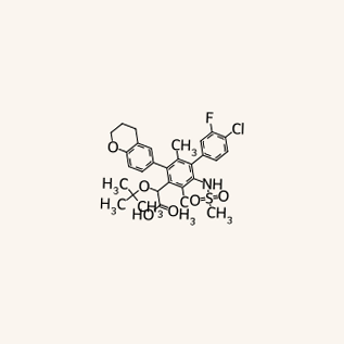 Cc1c(-c2ccc(Cl)c(F)c2)c(NS(C)(=O)=O)c(C)c(C(OC(C)(C)C)C(=O)O)c1-c1ccc2c(c1)CCCO2